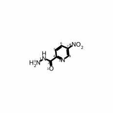 NNC(=O)c1ccc([N+](=O)[O-])cn1